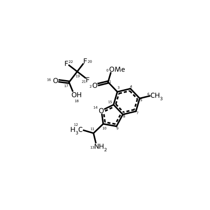 COC(=O)c1cc(C)cc2cc(C(C)N)oc12.O=C(O)C(F)(F)F